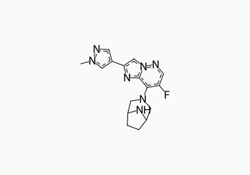 Cn1cc(-c2cn3ncc(F)c(N4CC5CCC(C4)N5)c3n2)cn1